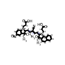 CC1(C)C(/C=C/C(C#N)=C/C=C2/N(CCC(=O)O)c3c(ccc4ccccc34)C2(C)C)=[N+](CCC(=O)O)c2ccc(N=O)cc21